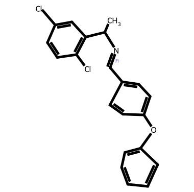 CC(/N=C/c1ccc(Oc2ccccc2)cc1)c1cc(Cl)ccc1Cl